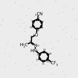 CC(COc1ccc(C#N)cc1)=NNc1ccc(C(F)(F)F)cc1